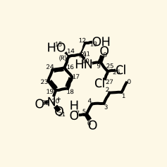 CCCCCC(=O)O.O=C(N[C@H](CO)[C@H](O)c1ccc([N+](=O)[O-])cc1)C(Cl)Cl